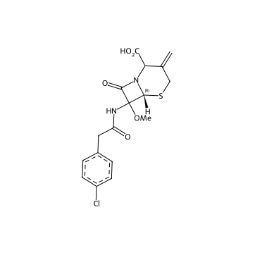 C=C1CS[C@H]2N(C(=O)C2(NC(=O)Cc2ccc(Cl)cc2)OC)C1C(=O)O